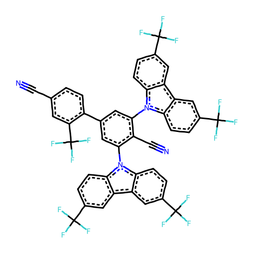 N#Cc1ccc(-c2cc(-n3c4ccc(C(F)(F)F)cc4c4cc(C(F)(F)F)ccc43)c(C#N)c(-n3c4ccc(C(F)(F)F)cc4c4cc(C(F)(F)F)ccc43)c2)c(C(F)(F)F)c1